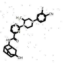 CC1CN(c2ccc(C#N)c(F)c2)CCN1c1nccc(C(=O)NC2C3CC4CC2CC(O)(C4)C3)n1